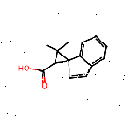 CC1(C)C(C(=O)O)C12C=Cc1ccccc12